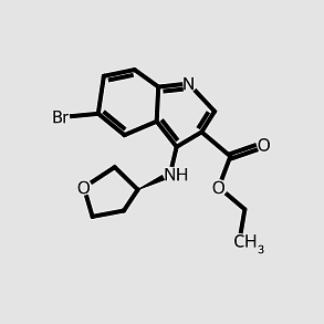 CCOC(=O)c1cnc2ccc(Br)cc2c1N[C@H]1CCOC1